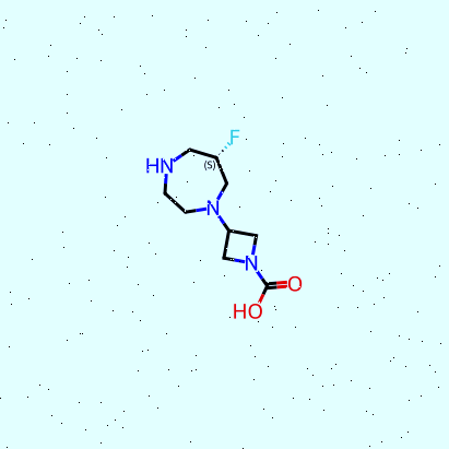 O=C(O)N1CC(N2CCNC[C@H](F)C2)C1